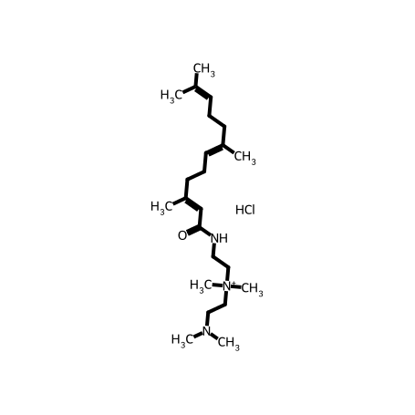 CC(C)=CCCC(C)=CCCC(C)=CC(=O)NCC[N+](C)(C)CCN(C)C.Cl